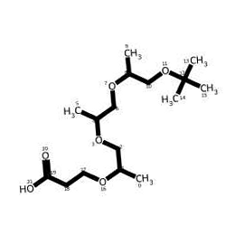 CC(COC(C)COC(C)COC(C)(C)C)OCCC(=O)O